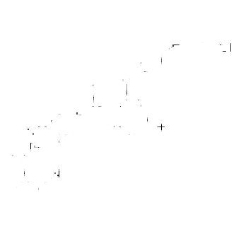 Cc1nc2c3c(nn2c(C)c1Cl)CN(C(=O)c1ccc(F)cc1O[C@H]1C[C@H](CCCO)C1)C3